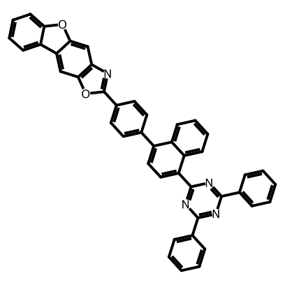 c1ccc(-c2nc(-c3ccccc3)nc(-c3ccc(-c4ccc(-c5nc6cc7oc8ccccc8c7cc6o5)cc4)c4ccccc34)n2)cc1